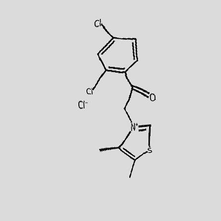 Cc1sc[n+](CC(=O)c2ccc(Cl)cc2Cl)c1C.[Cl-]